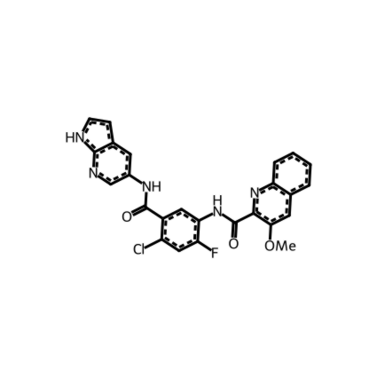 COc1cc2ccccc2nc1C(=O)Nc1cc(C(=O)Nc2cnc3[nH]ccc3c2)c(Cl)cc1F